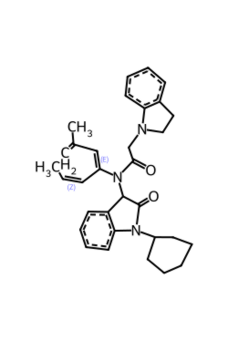 C=C(C)/C=C(\C=C/C)N(C(=O)CN1CCc2ccccc21)C1C(=O)N(C2CCCCC2)c2ccccc21